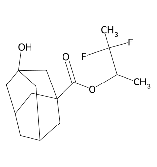 CC(OC(=O)C12CC3CC(CC(O)(C3)C1)C2)C(C)(F)F